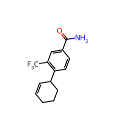 NC(=O)c1ccc(C2C=CCCC2)c(C(F)(F)F)c1